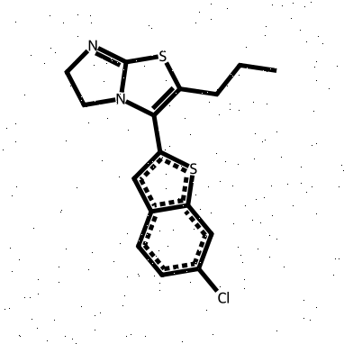 CCCC1=C(c2cc3ccc(Cl)cc3s2)N2CCN=C2S1